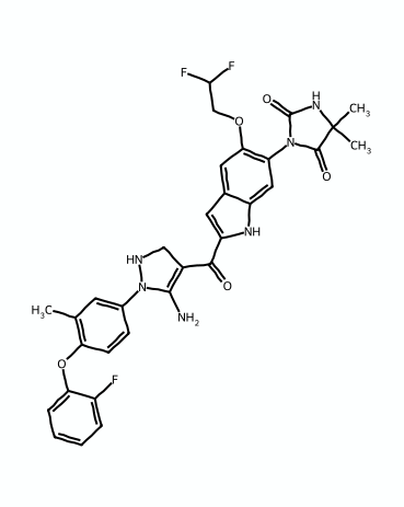 Cc1cc(N2NCC(C(=O)c3cc4cc(OCC(F)F)c(N5C(=O)NC(C)(C)C5=O)cc4[nH]3)=C2N)ccc1Oc1ccccc1F